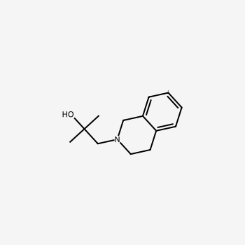 CC(C)(O)CN1CCc2cc[c]cc2C1